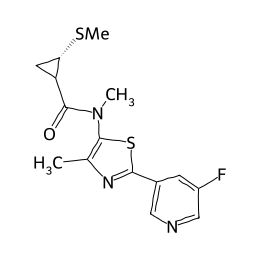 CS[C@H]1CC1C(=O)N(C)c1sc(-c2cncc(F)c2)nc1C